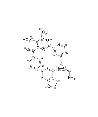 NC[C@@H]1C[C@H]1c1cccc2c1CCO2.O=C(OC(C(=O)O)C(OC(=O)c1ccccc1)C(=O)O)c1ccccc1